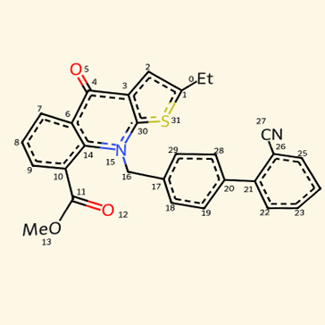 CCc1cc2c(=O)c3cccc(C(=O)OC)c3n(Cc3ccc(-c4ccccc4C#N)cc3)c2s1